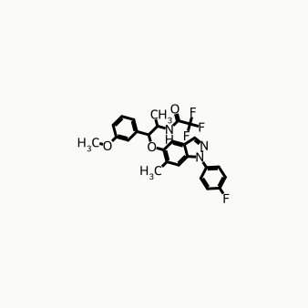 COc1cccc(C(Oc2cc3cnn(-c4ccc(F)cc4)c3cc2C)C(C)NC(=O)C(F)(F)F)c1